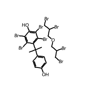 BrCC(Br)COCC(Br)CBr.CC(C)(c1ccc(O)cc1)c1c(Br)c(Br)c(O)c(Br)c1Br